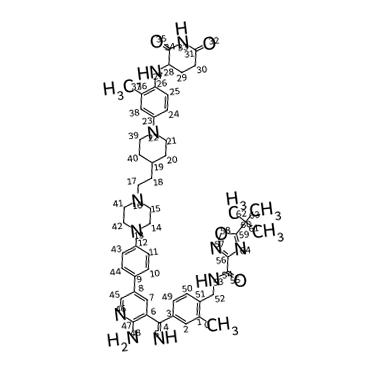 Cc1cc(C(=N)c2cc(-c3ccc(N4CCN(CCC5CCN(c6ccc(NC7CCC(=O)NC7=O)c(C)c6)CC5)CC4)cc3)cnc2N)ccc1CNC(=O)c1noc(C(C)(C)C)n1